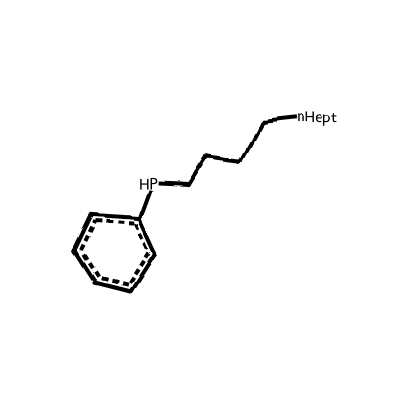 CCCCCCCCCCCPc1ccccc1